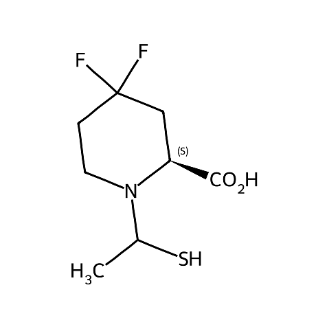 CC(S)N1CCC(F)(F)C[C@H]1C(=O)O